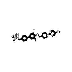 CCc1cnc(N2CCC(COc3c(F)cc(-c4ccc(CN[SH](=O)=O)cc4)cc3F)CC2)nc1